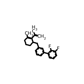 C=C(C)C1=C(C)CCCC1Cc1cccc(-c2cccc(F)c2F)c1